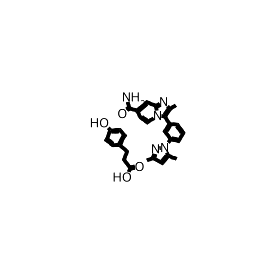 Cc1cc(C)n(-c2cccc(-c3c(C)nc4cc(C(N)=O)ccn34)c2)n1.O=C(O)CCc1ccc(O)cc1